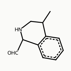 CC1CNC(C=O)c2ccccc21